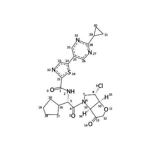 O=C(N[C@H](C(=O)N1C[C@H](Cl)[C@H]2OCC(=O)[C@H]21)C1CCCC1)c1ncc(-c2cnc(C3CC3)nc2)s1